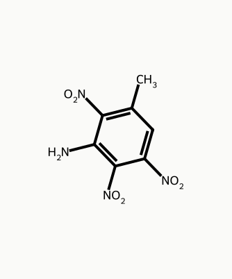 Cc1cc([N+](=O)[O-])c([N+](=O)[O-])c(N)c1[N+](=O)[O-]